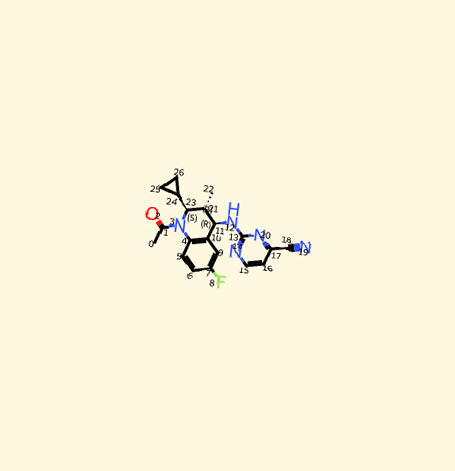 CC(=O)N1c2ccc(F)cc2[C@H](Nc2nccc(C#N)n2)[C@@H](C)[C@@H]1C1CC1